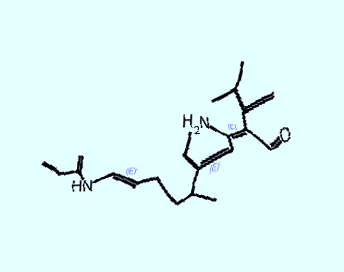 C=C(CC)N/C=C/CCC(C)/C(=C/C(N)=C(\C=O)C(=C)C(C)C)CC